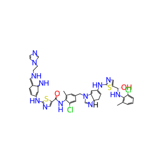 Cc1cc(CN2C=N[C@H]3CC=C(Nc4ncc([C@H](O)Nc5c(C)cccc5Cl)s4)C=C32)cc(Cl)c1NC(=O)c1cnc(NC2=CC(=N)/C(=C\NCCn3ccnc3)C=C2)s1